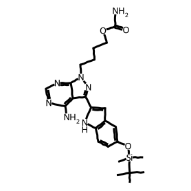 CC(C)(C)[Si](C)(C)Oc1ccc2[nH]c(-c3nn(CCCCOC(N)=O)c4ncnc(N)c34)cc2c1